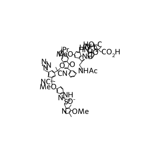 CC(C)(C#N)c1cc(Cn2cncn2)cc(C(C)(C)C#N)c1.CC(C)Oc1ccc2c(=O)c(-c3ccccc3)coc2c1.COc1ccc2[nH]c([S+]([O-])Cc3ncc(C)c(OC)c3C)nc2c1.COc1ccc2[nH]cc(CCNC(C)=O)c2c1.NNc1ccccc1.O=C(O)CC(O)(CC(=O)O)C(=O)O